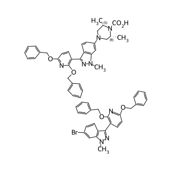 C[C@@H]1CN(c2ccc3c(-c4ccc(OCc5ccccc5)nc4OCc4ccccc4)nn(C)c3c2)C[C@H](C)N1C(=O)O.Cn1nc(-c2ccc(OCc3ccccc3)nc2OCc2ccccc2)c2ccc(Br)cc21